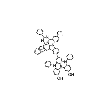 Oc1ccc2c(c1)B1c3cc(O)ccc3N(c3ccccc3)c3cc(-c4ccc5c(c4)c4cc(-c6ccccc6)ccc4n5-c4ccc(C(F)(F)F)cc4-c4nc(-c5ccccc5)nc(-c5ccccc5)n4)cc(c31)N2c1ccccc1